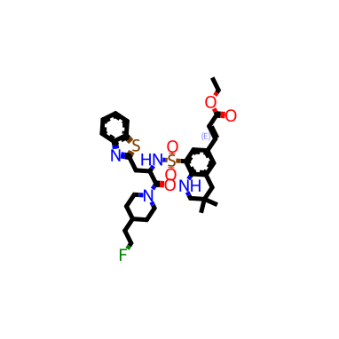 CCOC(=O)/C=C/c1cc2c(c(S(=O)(=O)NC(Cc3nc4ccccc4s3)C(=O)N3CCC(CCF)CC3)c1)NCC(C)(C)C2